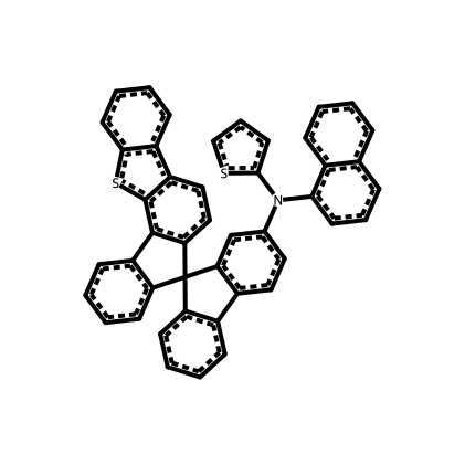 c1csc(N(c2ccc3c(c2)C2(c4ccccc4-3)c3ccccc3-c3c2ccc2c3sc3ccccc32)c2cccc3ccccc23)c1